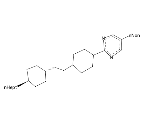 CCCCCCCCCc1cnc(C2CCC(CC[C@H]3CC[C@H](CCCCCCC)CC3)CC2)nc1